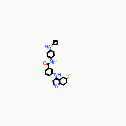 O=C(Nc1ccc(NC23CC(C2)C3)cc1)c1cccc(Nc2ccnc3c2CC(F)CC3)c1